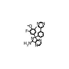 COc1c(C)cc(C2(c3cccc(-c4cncnc4)c3)N=C(N)c3nccnc32)cc1F